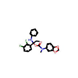 CCC(Nc1ccccc1)(OC(=O)N(C)c1ccc2c(c1)OCO2)c1cccc(F)c1F